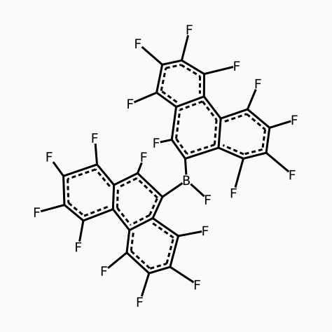 FB(c1c(F)c2c(F)c(F)c(F)c(F)c2c2c(F)c(F)c(F)c(F)c12)c1c(F)c2c(F)c(F)c(F)c(F)c2c2c(F)c(F)c(F)c(F)c12